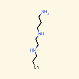 N#CCCNCCNCCCN